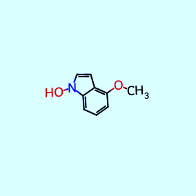 COc1cccc2c1ccn2O